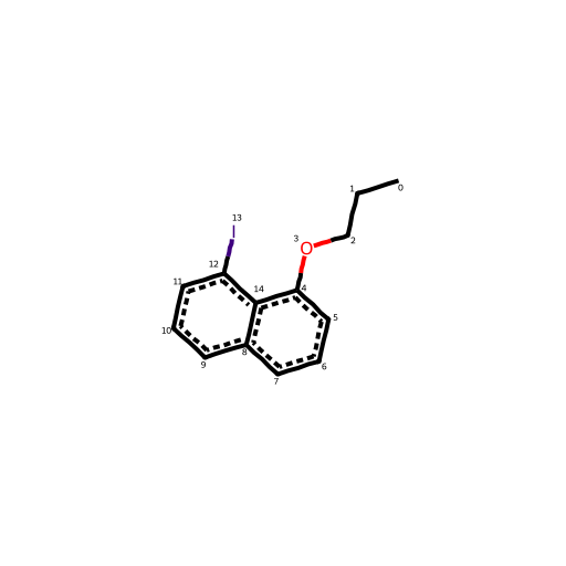 CCCOc1cccc2cccc(I)c12